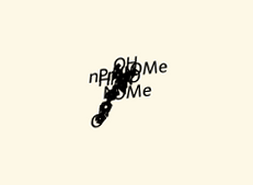 CCC[C@@H](CCO)Nc1nc(NC(=O)OC)nc2cnn(Cc3ncc(C4CCN(C5CCOC5)CC4)cc3OC)c12